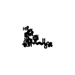 CNc1ncnc2c1ccn2[C@@H]1C[C@H](CN(CCCNC(=O)OC(C)(C)C)c2cncs2)[C@H]2OC(C)(C)O[C@H]21